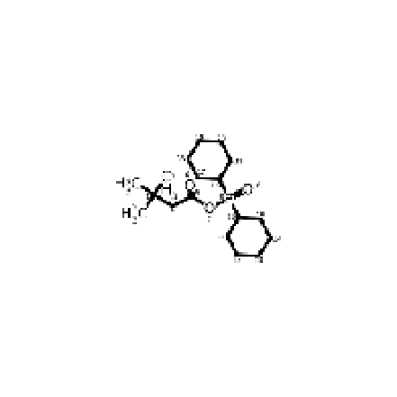 CC(C)(C)CC(=O)OP(=O)(C1CCCCC1)C1CCCCC1